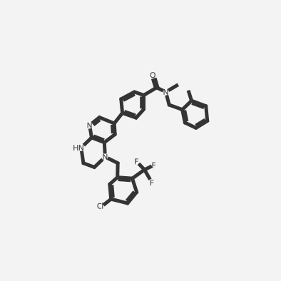 Cc1ccccc1CN(C)C(=O)c1ccc(-c2cnc3c(c2)N(Cc2cc(Cl)ccc2C(F)(F)F)CCN3)cc1